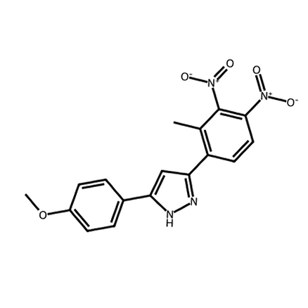 COc1ccc(-c2cc(-c3ccc([N+](=O)[O-])c([N+](=O)[O-])c3C)n[nH]2)cc1